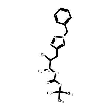 C[C@H](NC(=O)OC(C)(C)C)C(O)Cc1cn(Cc2ccccc2)nn1